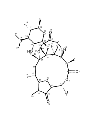 CC[C@H]1OC(=O)[C@H](C)[C@H]2OCC(=O)CO[C@@](C)(C[C@@H](C)C3OC1(C)C(=O)C3C)[C@H](O[C@@H]1O[C@H](C)[C@@H](C)[C@H](N(C)C)[C@H]1O)[C@H]2C